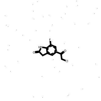 O=C1Cc2cc(C(=O)CCl)cc(F)c2N1